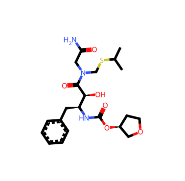 CC(C)SCN(CC(N)=O)C(=O)[C@@H](O)[C@H](Cc1ccccc1)NC(=O)O[C@H]1CCOC1